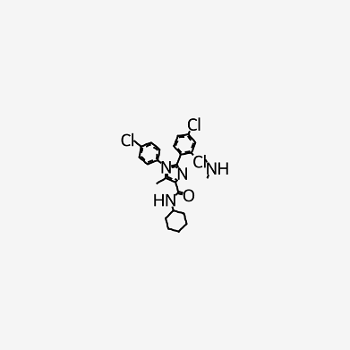 CNC.Cc1c(C(=O)NC2CCCCC2)nc(-c2ccc(Cl)cc2Cl)n1-c1ccc(Cl)cc1